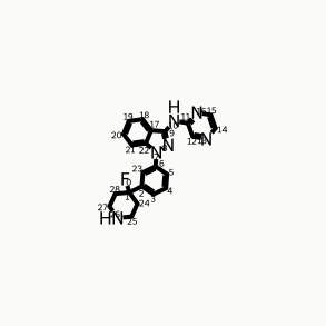 FC1(c2cccc(-n3nc(Nc4cnccn4)c4ccccc43)c2)CCNCC1